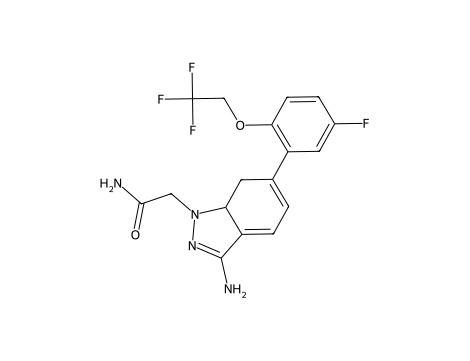 NC(=O)CN1N=C(N)C2=CC=C(c3cc(F)ccc3OCC(F)(F)F)CC21